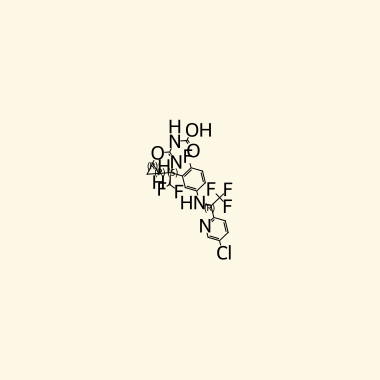 O=C(O)NC1=N[C@@](c2cc(N[C@H](c3ccc(Cl)cn3)C(F)(F)F)ccc2F)(C(F)F)[C@H]2C[C@H]2O1